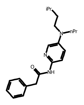 CCCN(CCC(C)C)c1ccc(NC(=O)Cc2ccccc2)nc1